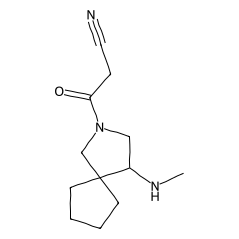 CNC1CN(C(=O)CC#N)CC12CCCC2